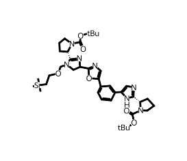 CC(C)(C)OC(=O)N1CCC[C@H]1C1=NC(c2ncc(-c3cccc(-c4cnc([C@@H]5CCCN5C(=O)OC(C)(C)C)[nH]4)c3)o2)CN1COCC[Si](C)(C)C